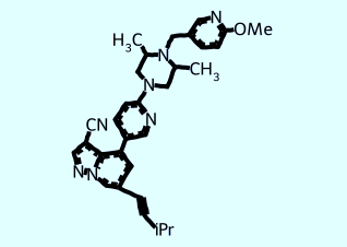 COc1ccc(CN2C(C)CN(c3ccc(-c4cc(C#CC(C)C)cn5ncc(C#N)c45)cn3)CC2C)cn1